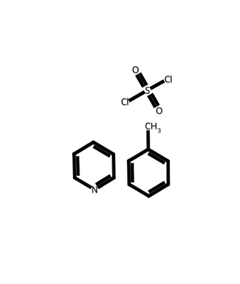 Cc1ccccc1.O=S(=O)(Cl)Cl.c1ccncc1